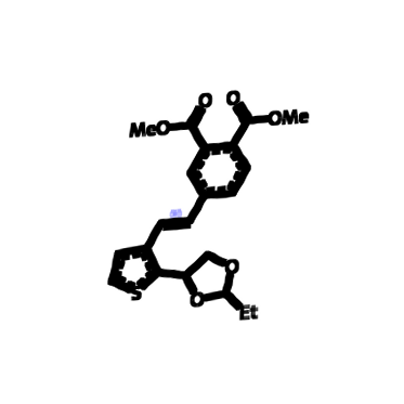 CCC1OCC(c2sccc2/C=C/c2ccc(C(=O)OC)c(C(=O)OC)c2)O1